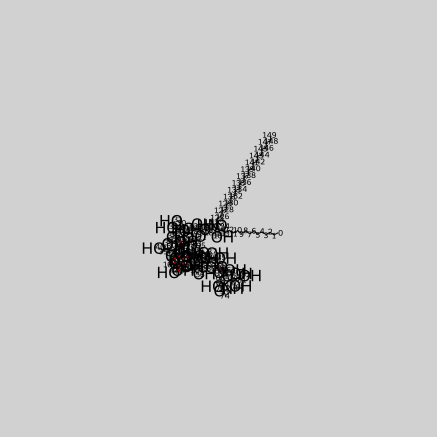 CCCCCCCCCCCCC/C=C/[C@@H](O)[C@H](CO[C@@H]1OC(CO)[C@@H](O[C@@H]2OC(CO)[C@H](O)[C@H](O[C@@H]3OC(CO)[C@@H](O[C@@H]4OC(CO)[C@H](O)[C@H](O[C@@H]5OC(CO)[C@@H](O[C@@H]6OC(CO[C@]7(C(=O)O)CC(O)[C@@H](NC(C)=O)C([C@H](O)[C@H](O)CO)O7)[C@H](O)[C@H](O)C6O)[C@H](O)C5NC(C)=O)C4O)[C@H](O[C@H]4OC(C)[C@@H](O)C(O)[C@@H]4O)C3NC(C)=O)C2O)[C@H](O)C1O)NC(=O)CCCCCCCCCCCCCCCCCCCCCCCCC